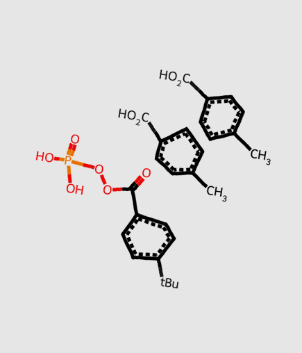 CC(C)(C)c1ccc(C(=O)OOP(=O)(O)O)cc1.Cc1ccc(C(=O)O)cc1.Cc1ccc(C(=O)O)cc1